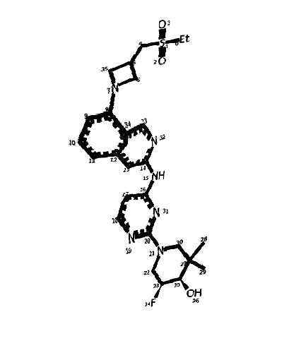 CCS(=O)(=O)CC1CN(c2cccc3cc(Nc4ccnc(N5C[C@H](F)[C@H](O)C(C)(C)C5)n4)ncc23)C1